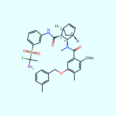 COc1cc(C)c(OCc2cccc(C)c2)cc1C(=O)N(C)[C@H]1[C@@H](C(=O)Nc2cccc(S(=O)(=O)C(C)(F)P)c2)[C@H]2C=C[C@H]1C2